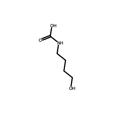 O=C(O)NCCCCO